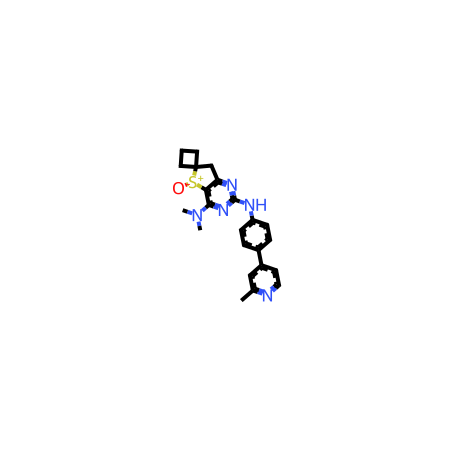 Cc1cc(-c2ccc(Nc3nc4c(c(N(C)C)n3)[S+]([O-])C3(CCC3)C4)cc2)ccn1